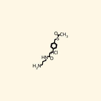 CC(=O)SCc1ccc(CCC(=O)NCCCN)cc1.Cl